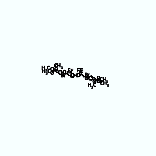 CCO[C@@H](Cc1ccc(OCCCc2ccc(-c3ccc(CCCOc4ccc(C[C@H](OCC)C(=O)OC(C)C)cc4Br)c(C(F)(F)F)c3)cc2C(F)(F)F)c(Br)c1)C(=O)OC(C)C